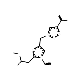 C=Cn1cc(Cn2cc(C(=O)O)nn2)nc1CC(C)OC